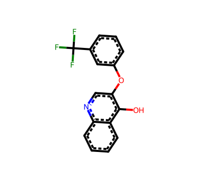 Oc1c(Oc2cccc(C(F)(F)F)c2)cnc2ccccc12